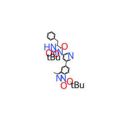 Cc1nn(C(=O)OC(C)(C)C)c2ccc(-c3cncc(NC(=O)C(Cc4ccccc4)NC(=O)OC(C)(C)C)c3)cc12